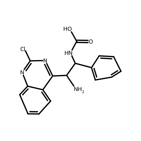 NC(c1nc(Cl)nc2ccccc12)C(NC(=O)O)c1ccccc1